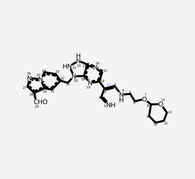 N=C/C(=C\NCCOC1CCCCO1)c1cnc2c(n1)N(Cc1ccn3ncc(C=O)c3c1)NN2